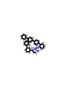 C1=CC(c2cccc3c2sc2ccccc23)NC(n2c3ccccc3c3ccc(-c4ccc(-c5ccccc5)cc4)cc32)=N1